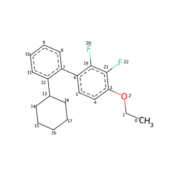 CCOc1ccc(-c2ccccc2C2CCCCC2)c(F)c1F